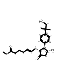 COC(=O)CCCC=CC[C@H]1C(=O)C[C@@H](O)[C@@H]1c1ccc(C(C)(C)CO)cc1